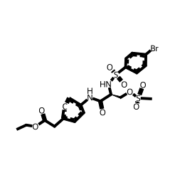 CCOC(=O)Cc1ccc(NC(=O)[C@H](COS(C)(=O)=O)NS(=O)(=O)c2ccc(Br)cc2)cc1